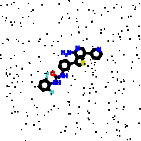 Nc1ncc(-c2cccnc2)c2scc(-c3cccc(NC(=O)Nc4c(F)cccc4F)c3)c12